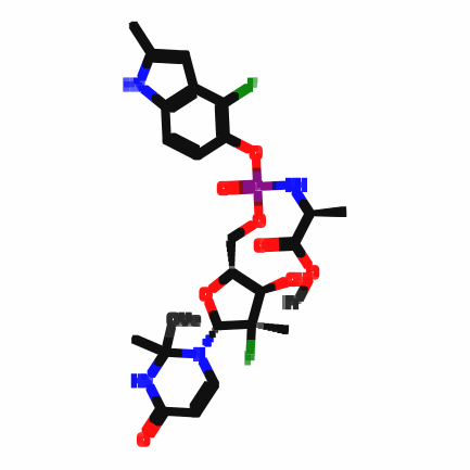 COC1(C)NC(=O)C=CN1[C@@H]1O[C@H](COP(=O)(N[C@@H](C)C(=O)OC(C)C)Oc2ccc3[nH]c(C)cc3c2F)[C@@H](O)[C@@]1(C)F